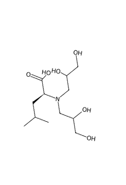 CC(C)C[C@@H](C(=O)O)N(CC(O)CO)CC(O)CO